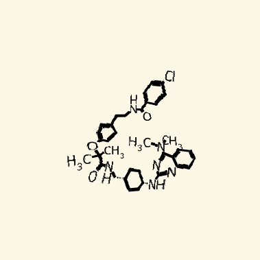 CN(C)c1nc(N[C@H]2CC[C@@H](CNC(=O)C(C)(C)Oc3ccc(CCNC(=O)c4ccc(Cl)cc4)cc3)CC2)nc2ccccc12